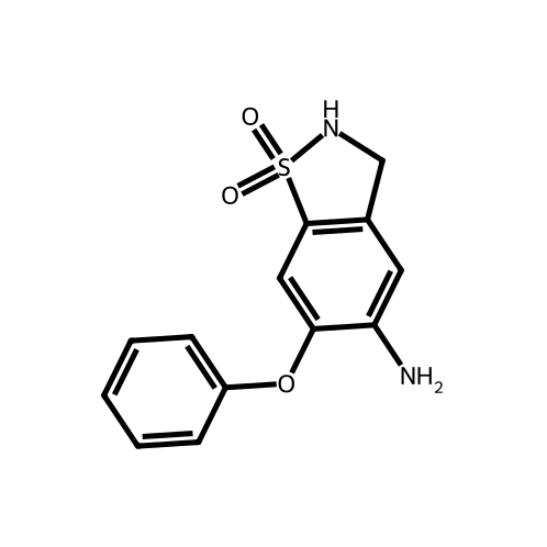 Nc1cc2c(cc1Oc1ccccc1)S(=O)(=O)NC2